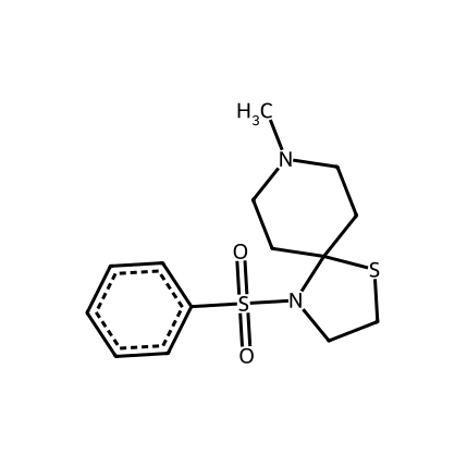 CN1CCC2(CC1)SCCN2S(=O)(=O)c1ccccc1